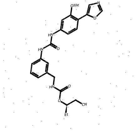 CC[C@H](CC#N)OC(=O)NCc1cccc(NC(=O)Nc2ccc(-c3cnco3)c(OC)c2)c1